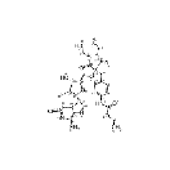 CCOC(=O)Nc1ccc(CC(OC[C@H]2O[C@@H](n3cnc4c(N)nc(Cl)nc43)[C@@H](F)[C@@H]2O)(C(=O)OCC)C(=O)OCC)cc1